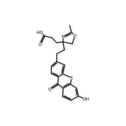 CC1=NC(CCC(=O)O)(CCc2ccc3c(=O)c4ccc(O)cc4sc3c2)CO1